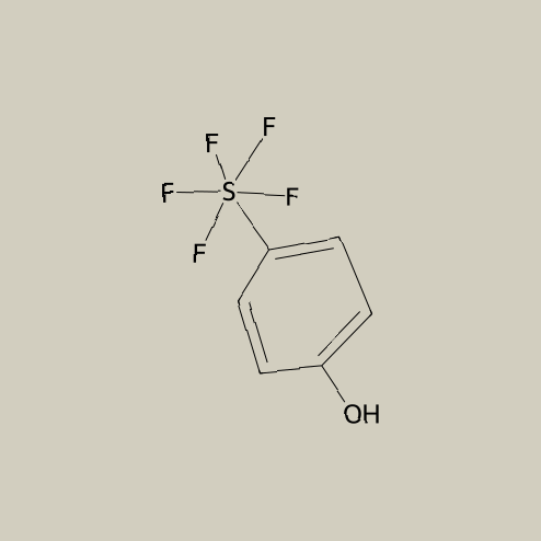 Oc1ccc(S(F)(F)(F)(F)F)cc1